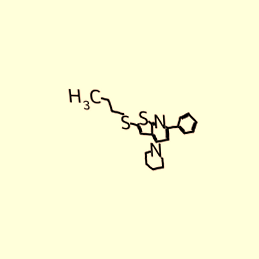 CCCCSc1cc2c(N3CCCCC3)cc(-c3ccccc3)nc2s1